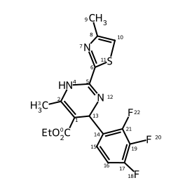 CCOC(=O)C1=C(C)NC(c2nc(C)cs2)=NC1c1ccc(F)c(F)c1F